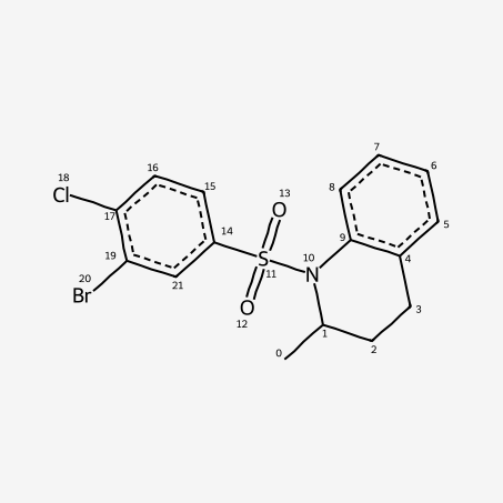 CC1CCc2ccccc2N1S(=O)(=O)c1ccc(Cl)c(Br)c1